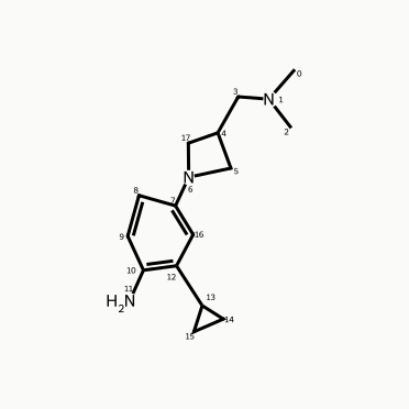 CN(C)CC1CN(c2ccc(N)c(C3CC3)c2)C1